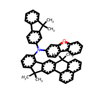 CC1(C)c2ccccc2-c2ccc(N(c3ccc4c(c3)oc3ccccc34)c3cccc4c3-c3cc5c(cc3C4(C)C)-c3cccc4cccc(c34)C5(C)C)cc21